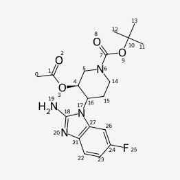 CC(=O)O[C@H]1CN(C(=O)OC(C)(C)C)CCC1n1c(N)nc2ccc(F)cc21